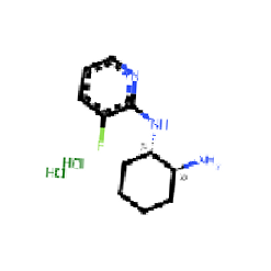 Cl.Cl.N[C@H]1CCCC[C@@H]1Nc1ncccc1F